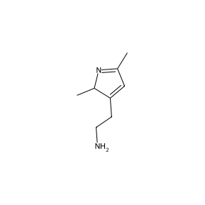 CC1=NC(C)C(CCN)=C1